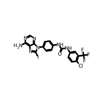 Nc1ncnc2c1nc(I)n2-c1ccc(NC(=O)Nc2ccc(Cl)c(C(F)(F)F)c2)cc1